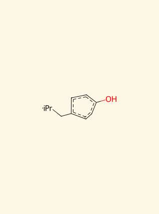 C[C](C)Cc1ccc(O)cc1